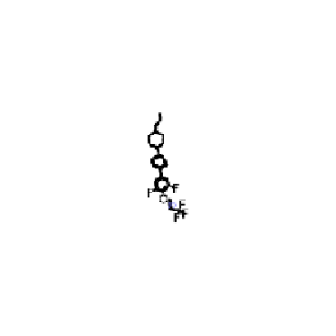 CCCC1CCC(c2ccc(-c3cc(F)c(O/C=C/C(F)(F)F)c(F)c3)cc2)CC1